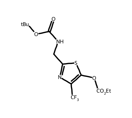 CCOC(=O)Oc1sc(CNC(=O)OC(C)(C)C)nc1C(F)(F)F